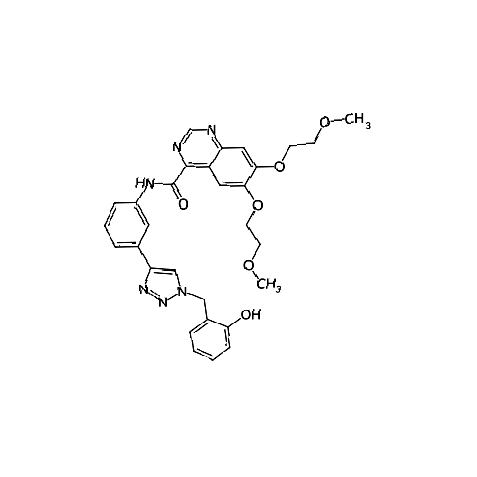 COCCOc1cc2ncnc(C(=O)Nc3cccc(-c4cn(Cc5ccccc5O)nn4)c3)c2cc1OCCOC